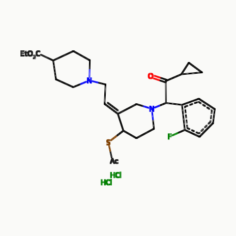 CCOC(=O)C1CCN(C/C=C2\CN(C(C(=O)C3CC3)c3ccccc3F)CCC2SC(C)=O)CC1.Cl.Cl